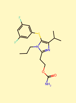 CCCn1c(CCOC(N)=O)nc(C(C)C)c1Sc1cc(F)cc(F)c1